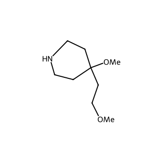 COCCC1(OC)CCNCC1